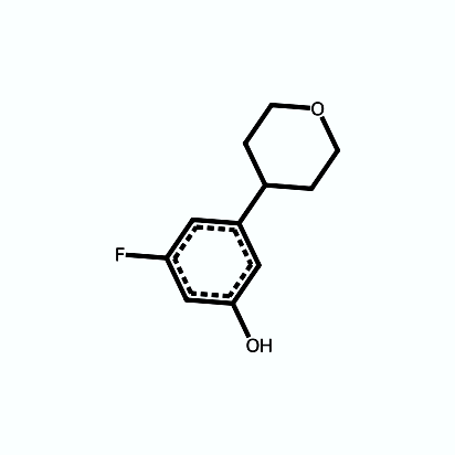 Oc1cc(F)cc(C2CCOCC2)c1